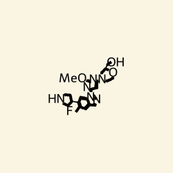 COc1nc(N2CCO[C@H](CO)C2)cc(-n2ncc3cc(C)c([C@@H]4CCNC[C@@H]4F)cc32)n1